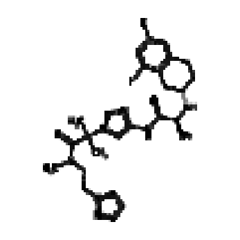 CCC[C@H](N[C@H]1CCc2cc(F)cc(F)c2C1)C(=O)Nc1cn(C(C)(C)C(=O)N(C)CCn2cccn2)cn1